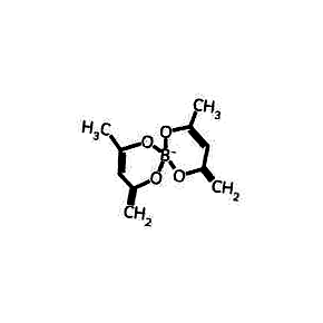 C=C1C=C(C)O[B-]2(O1)OC(=C)C=C(C)O2